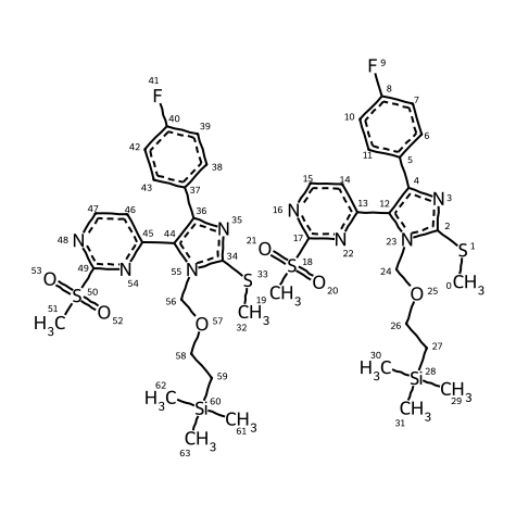 CSc1nc(-c2ccc(F)cc2)c(-c2ccnc(S(C)(=O)=O)n2)n1COCC[Si](C)(C)C.CSc1nc(-c2ccc(F)cc2)c(-c2ccnc(S(C)(=O)=O)n2)n1COCC[Si](C)(C)C